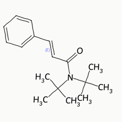 CC(C)(C)N(C(=O)/C=C/c1ccccc1)C(C)(C)C